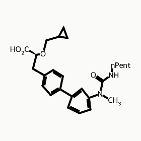 CCCCCNC(=O)N(C)c1cccc(-c2ccc(C[C@H](OCC3CC3)C(=O)O)cc2)c1